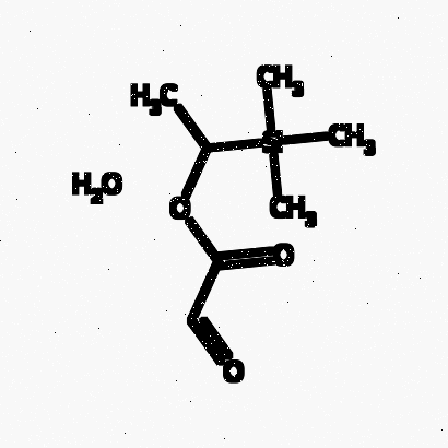 CC(OC(=O)C=O)[Si](C)(C)C.O